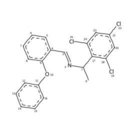 CC(/N=C/c1ccccc1Oc1ccccc1)c1c(Cl)cc(Cl)cc1Cl